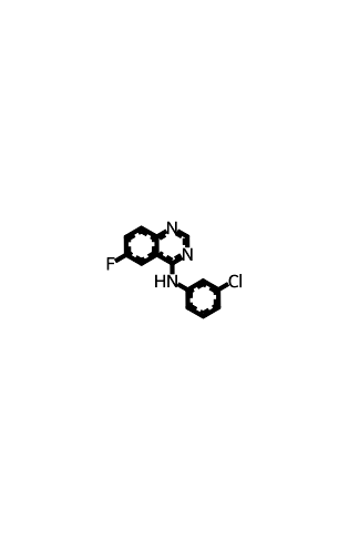 Fc1ccc2ncnc(Nc3cccc(Cl)c3)c2c1